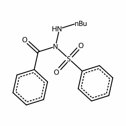 CCCCNN(C(=O)c1ccccc1)S(=O)(=O)c1ccccc1